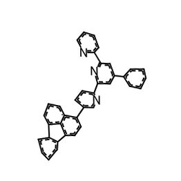 c1ccc(-c2cc(-c3ccccn3)nc(-c3ccc(-c4ccc5c6c(cccc46)-c4ccccc4-5)cn3)c2)cc1